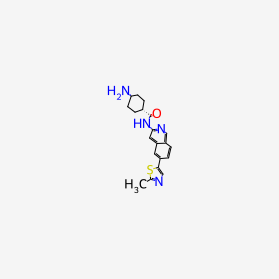 Cc1ncc(-c2ccc3cnc(NC(=O)[C@H]4CC[C@H](N)CC4)cc3c2)s1